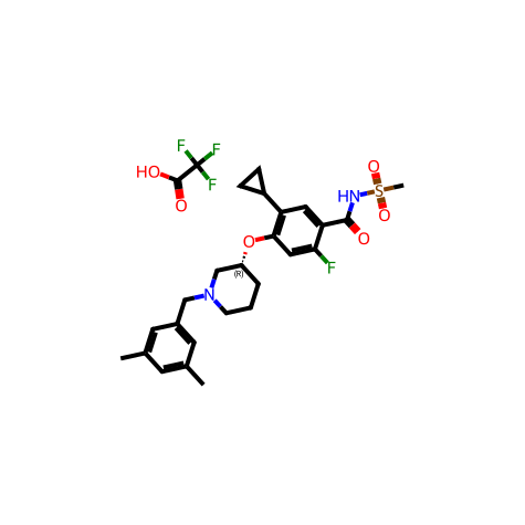 Cc1cc(C)cc(CN2CCC[C@@H](Oc3cc(F)c(C(=O)NS(C)(=O)=O)cc3C3CC3)C2)c1.O=C(O)C(F)(F)F